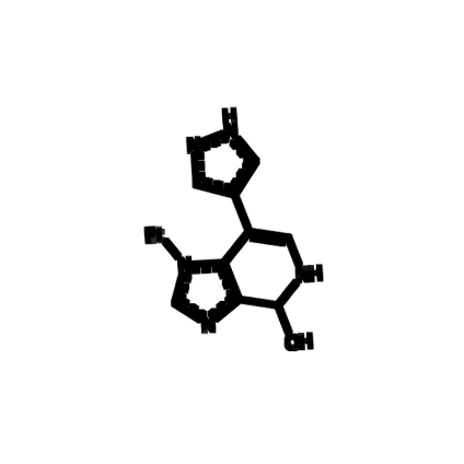 CCn1cnc2c1C(c1cn[nH]c1)=CNC2O